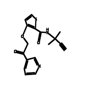 C#CC(C)(C)NC(=O)c1sccc1OCC(=O)c1cccnc1